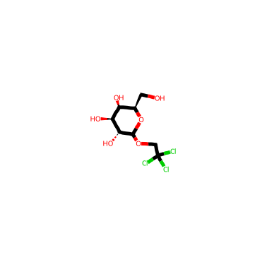 OC[C@H]1OC(OCC(Cl)(Cl)Cl)[C@H](O)[C@@H](O)[C@H]1O